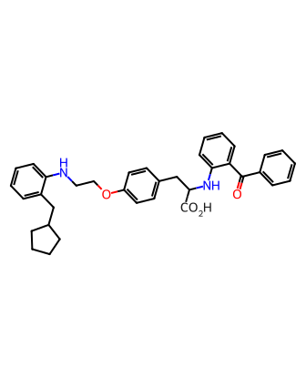 O=C(c1ccccc1)c1ccccc1NC(Cc1ccc(OCCNc2ccccc2CC2CCCC2)cc1)C(=O)O